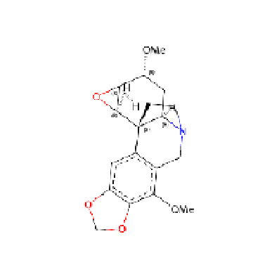 COc1c2c(cc3c1OCO3)[C@@]13CCN(C2)[C@@H]1C[C@@H](OC)[C@@H]1O[C@@H]13